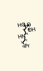 CC(C)CCNCCP(=O)(O)O